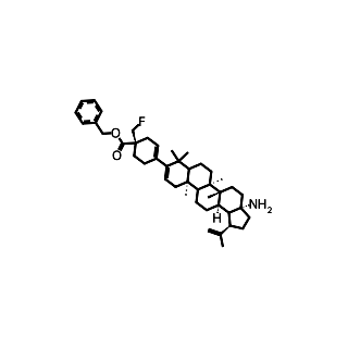 C=C(C)[C@@H]1CC[C@]2(N)CC[C@]3(C)[C@H](CCC4[C@@]5(C)CC=C(C6=CC[C@@](CF)(C(=O)OCc7ccccc7)CC6)C(C)(C)C5CC[C@]43C)C12